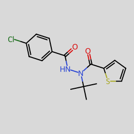 CC(C)(C)N(NC(=O)c1ccc(Cl)cc1)C(=O)c1cccs1